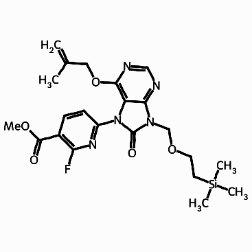 C=C(C)COc1ncnc2c1n(-c1ccc(C(=O)OC)c(F)n1)c(=O)n2COCC[Si](C)(C)C